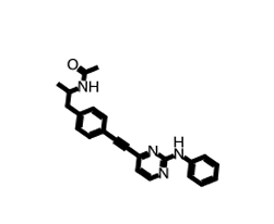 CC(=O)NC(C)Cc1ccc(C#Cc2ccnc(Nc3ccccc3)n2)cc1